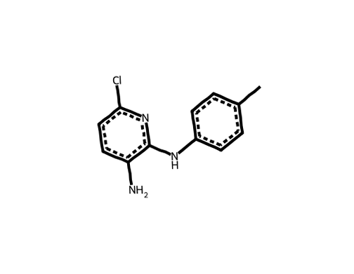 Cc1ccc(Nc2nc(Cl)ccc2N)cc1